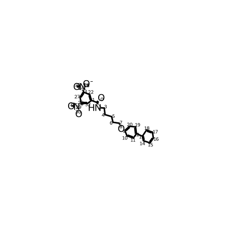 O=C(NCCCCCOc1ccc(-c2ccccc2)cc1)c1cc([N+](=O)[O-])cc([N+](=O)[O-])c1